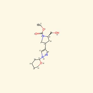 CC(C)(C)OC(=O)N1CC(c2cnn(C3CCCCO3)c2)C[C@@H]1CO